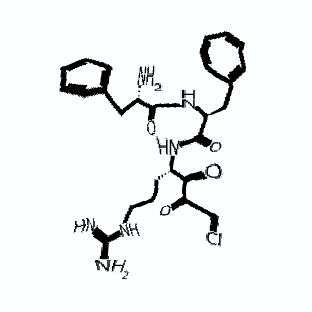 N=C(N)NCCC[C@H](NC(=O)[C@H](Cc1ccccc1)NC(=O)[C@@H](N)Cc1ccccc1)C(=O)C(=O)CCl